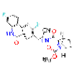 CC(C)(C)OC(=O)N1[C@@H]2CC[C@@H](C2)[C@H]1C(=O)N[C@H](C#N)Cc1cc2c(=O)[nH]c3cc(F)ccc3c2cc1F